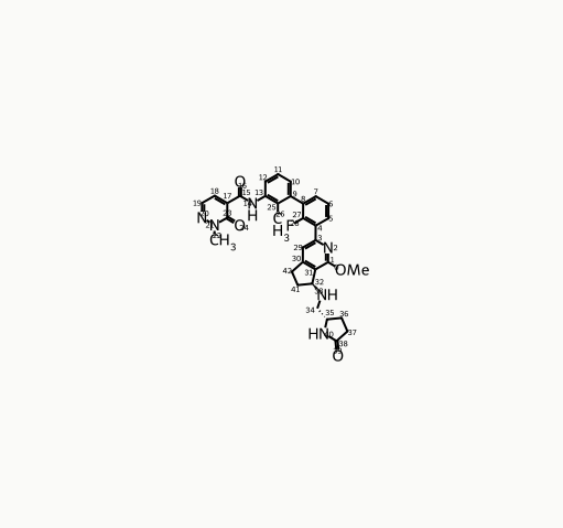 COc1nc(-c2cccc(-c3cccc(NC(=O)c4ccnn(C)c4=O)c3C)c2F)cc2c1[C@@H](NC[C@@H]1CCC(=O)N1)CC2